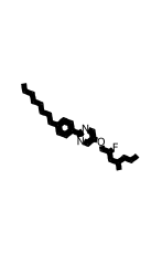 CCCCCCCCc1ccc(-c2ncc(OCC(F)CC(C)CCC)cn2)cc1